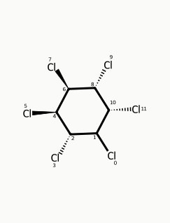 ClC1[C@H](Cl)[C@@H](Cl)[C@@H](Cl)[C@H](Cl)[C@@H]1Cl